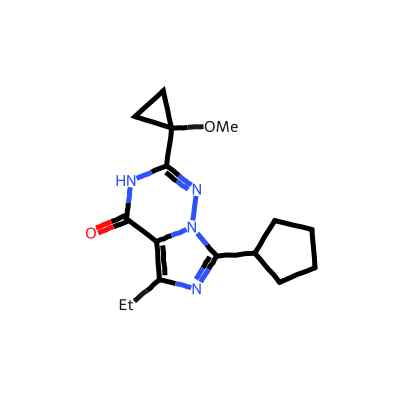 CCc1nc(C2CCCC2)n2nc(C3(OC)CC3)[nH]c(=O)c12